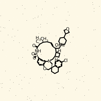 CO[C@@]1(CN2CCC(C3COC3)CC2)/C=C/C[C@H](C)[C@@H](C)C(=O)NS(=O)(=O)c2ccc3c(c2)N(C[C@@H]2CC[C@H]21)C[C@@]1(CCCc2cc(Cl)ccc21)CO3